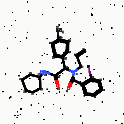 C=CCN(C(=O)c1ccccc1I)C(C(=O)NC1CCCCC1)c1ccc([N+](=O)[O-])cc1